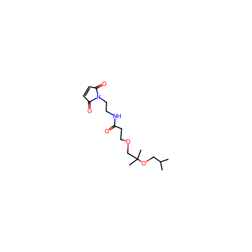 CC(C)COC(C)(C)COCCC(=O)NCCN1C(=O)C=CC1=O